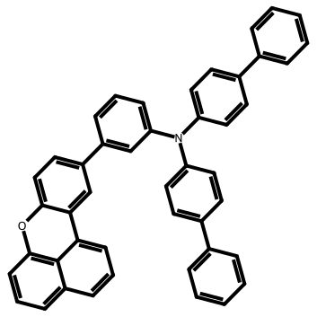 c1ccc(-c2ccc(N(c3ccc(-c4ccccc4)cc3)c3cccc(-c4ccc5c(c4)-c4cccc6cccc(c46)O5)c3)cc2)cc1